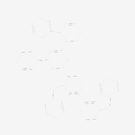 c1ccc(-c2nc(-c3ccc(-c4cccc5sc6ccccc6c45)c4c3oc3ccccc34)nc(-c3cccc4oc5ccccc5c34)n2)cc1